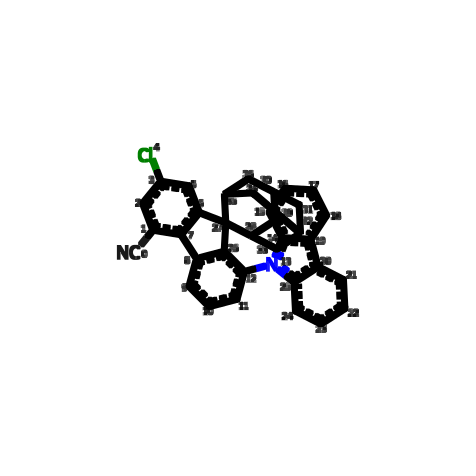 N#Cc1cc(Cl)cc2c1-c1cccc(-n3c4ccccc4c4ccccc43)c1C21C2CC3CC(C2)CC1C3